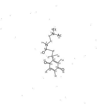 CCN(CCN(C)C(=O)CC(C)(C)C1=C(C)C(=O)C(C)=C(C)C1=O)C(C)=O